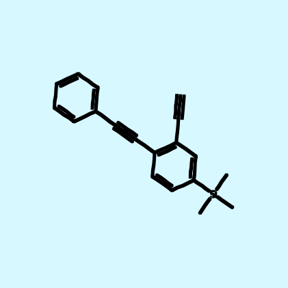 C#Cc1cc([Si](C)(C)C)ccc1C#Cc1ccccc1